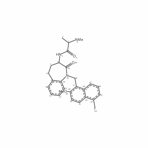 CNC(C)C(=O)NC1CCc2ccccc2N(Cc2c(OC)ccc3c(F)cccc23)C1=O